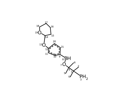 CC(C)(P)C(C)(C)OBc1ccc(OC2CCCCO2)cc1